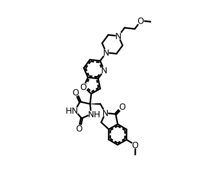 COCCN1CCN(c2ccc3oc([C@]4(CN5Cc6ccc(OC)cc6C5=O)NC(=O)NC4=O)cc3n2)CC1